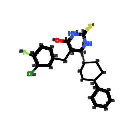 O=c1[nH]c(=S)[nH]c([C@H]2CC[C@H](c3ccccc3)CC2)c1Cc1ccc(F)c(Cl)c1